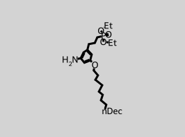 CCCCCCCCCCCCCCCCCCOc1cc(N)cc(CCCP(=O)(OCC)OCC)c1